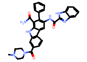 CN1CCN(C(=O)c2ccc3c(c2)[nH]c2c(C(N)=O)c(-c4ccccc4)c(NC(=O)c4nc5ccccc5[nH]4)cc23)CC1